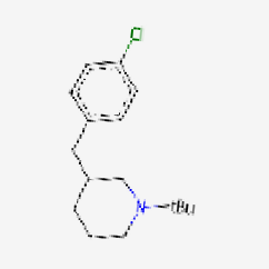 CC(C)(C)N1CCCC(Cc2ccc(Cl)cc2)C1